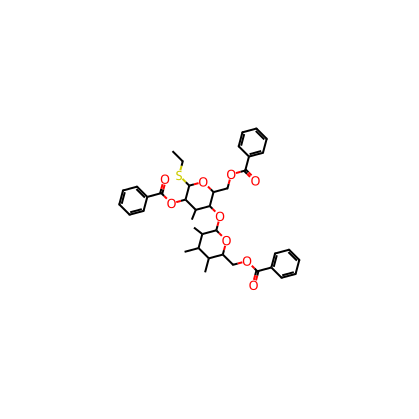 CCSC1OC(COC(=O)c2ccccc2)C(OC2OC(COC(=O)c3ccccc3)C(C)C(C)C2C)C(C)C1OC(=O)c1ccccc1